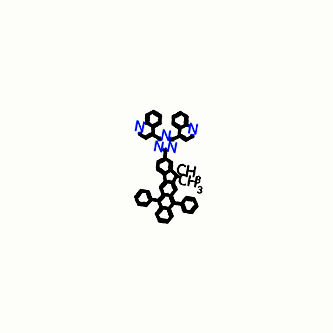 CC1(C)c2cc(-c3nc(-c4ccnc5ccccc45)nc(-c4ccnc5ccccc45)n3)ccc2-c2cc3c(-c4ccccc4)c4ccccc4c(-c4ccccc4)c3cc21